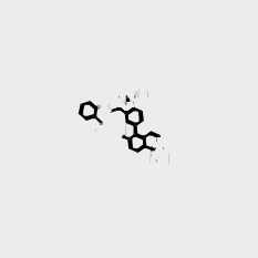 Cc1ccc2c(N)nccc2c1-c1ccc2c(c1)c(COc1ccccc1CC(=O)O)nn2C(C)C